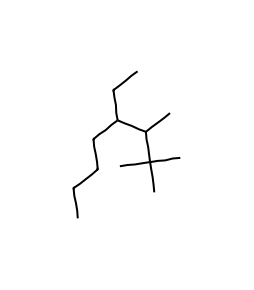 CCCCC(CC)C(C)C(C)(C)C